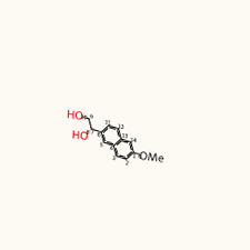 COc1ccc2cc([C@H](O)CO)ccc2c1